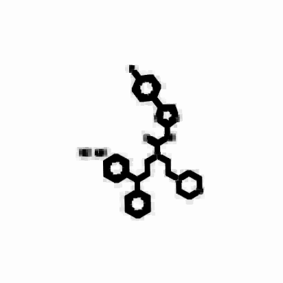 Cl.Cl.O=C(Nc1nc(-c2ccc(F)cc2)cs1)N(CCC(c1ccccc1)c1ccccc1)CCN1CCOCC1